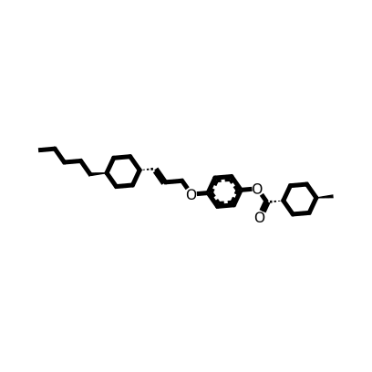 CCCCC[C@H]1CC[C@H](C=CCOc2ccc(OC(=O)[C@H]3CC[C@H](C)CC3)cc2)CC1